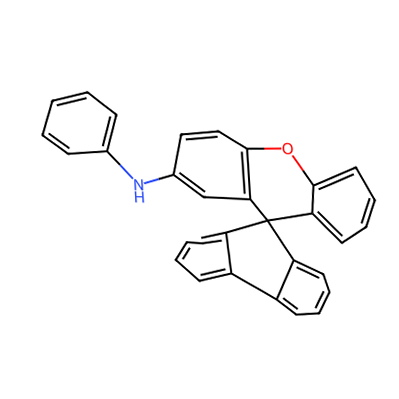 c1ccc(Nc2ccc3c(c2)C2(c4ccccc4O3)c3ccccc3-c3ccccc32)cc1